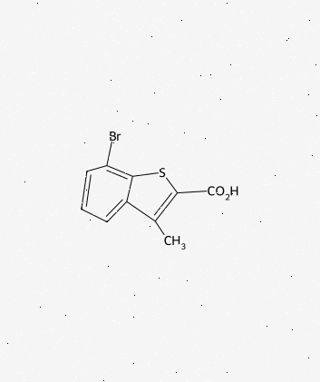 Cc1c(C(=O)O)sc2c(Br)cccc12